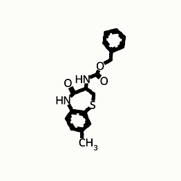 Cc1ccc2c(c1)SCC(NC(=O)OCc1ccccc1)C(=O)N2